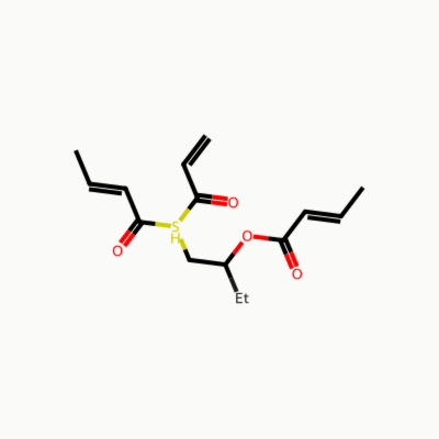 C=CC(=O)[SH](CC(CC)OC(=O)C=CC)C(=O)C=CC